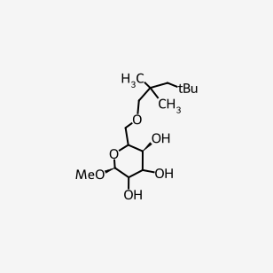 CO[C@H]1OC(COCC(C)(C)CC(C)(C)C)[C@@H](O)C(O)C1O